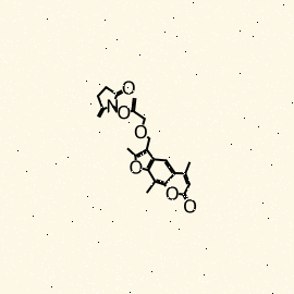 C=C(COCc1c(C)oc2c(C)c3oc(=O)cc(C)c3cc12)ON1C(=C)CCC1=O